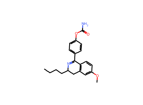 CCCCC1Cc2cc(OC)ccc2C(c2ccc(OC(N)=O)cc2)=N1